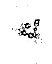 CC(C)n1cnc2cc(-c3ccc4c(c3)N([C@H]3C[C@@H](N5CC6CCC(C6)C5)C3)C(=O)C4(C)C)nc(Nc3ccncc3F)c21